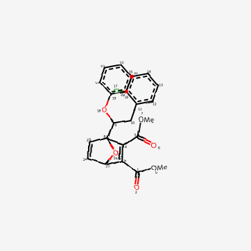 COC(=O)C1=C(C(=O)OC)C2(C(Cc3ccccc3Cl)Oc3ccccc3)C=CC1O2